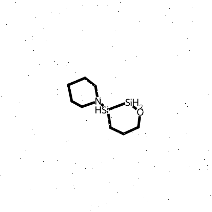 C1CCN([SiH]2CCCO[SiH2]2)CC1